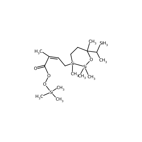 CC(=CC[Si]1(C)CCC(C)(C(C)[SiH3])O[Si]1(C)C)C(=O)OO[Si](C)(C)C